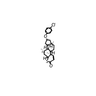 C[C@H]1C[C@H]2SC(=O)C=C[C@]2(C)[C@H]2CC[C@]3(C)C[C@@H](Oc4ccc(Cl)cc4)C[C@H]3[C@H]12